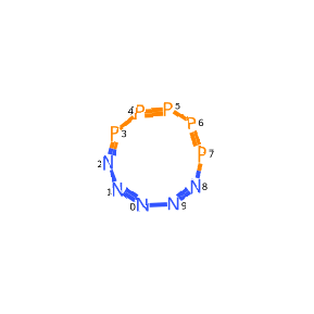 n1nnpppppnn1